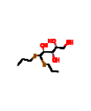 CCCSC(SCCC)[C@H](O)[C@@H](O)[C@H](O)CO